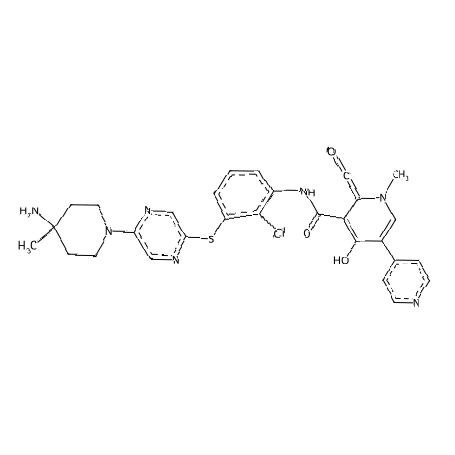 CN1C=C(c2ccncc2)C(O)=C(C(=O)Nc2cccc(Sc3cnc(N4CCC(C)(N)CC4)cn3)c2Cl)C1=C=O